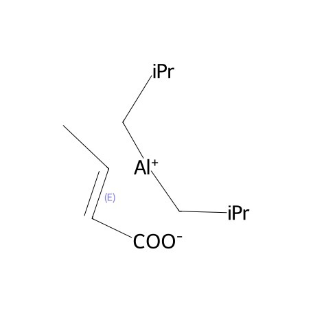 C/C=C/C(=O)[O-].CC(C)[CH2][Al+][CH2]C(C)C